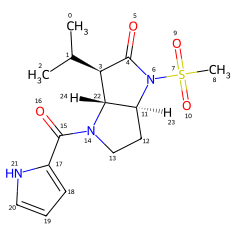 CC(C)[C@H]1C(=O)N(S(C)(=O)=O)[C@H]2CCN(C(=O)c3ccc[nH]3)[C@H]12